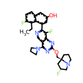 CCc1c(F)ccc2cc(O)cc(-c3ncc4c(N5CCC5)nc(OC[C@@]56CCCN5C[C@H](F)C6)nc4c3F)c12